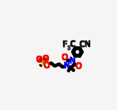 CC1(C)C(=O)N(c2ccc(C#N)c(C(F)(F)F)c2)C(=O)N1CCCCOS(C)(=O)=O